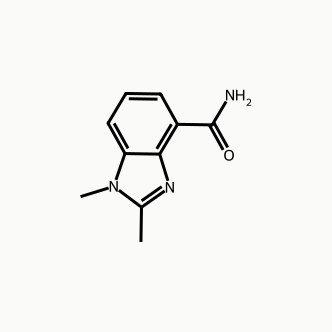 Cc1nc2c(C(N)=O)cccc2n1C